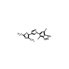 Cc1nc(C)c(-c2cnn(-c3cc(F)c4[nH]nnc4c3F)c2)s1